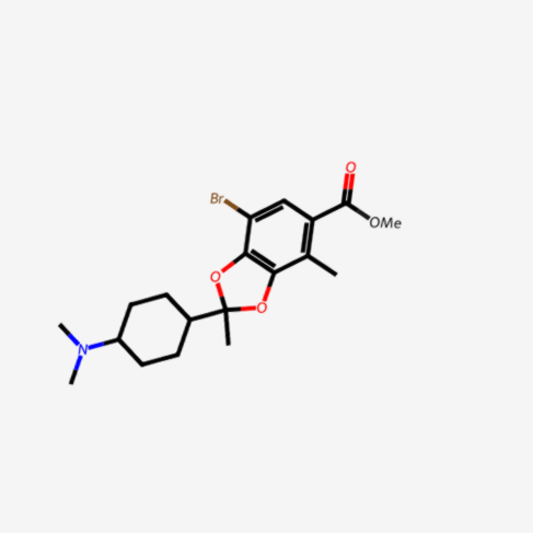 COC(=O)c1cc(Br)c2c(c1C)OC(C)(C1CCC(N(C)C)CC1)O2